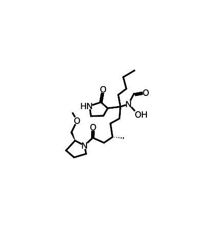 CCCCC(CC[C@H](C)CC(=O)N1CCC[C@H]1COC)(C1CCNC1=O)N(O)C=O